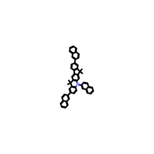 CC1(C)c2cc(-c3ccc4ccccc4c3)ccc2-c2cc3c(cc21)N(c1ccc2ccccc2c1)c1ccc(-c2ccc4ccccc4c2)cc1C3(C)C